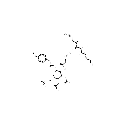 CC(=O)OC[C@@H]1O[C@@H](OC(=O)Oc2ccc([N+](=O)[O-])cc2)[C@@H](NC(=O)CN=[N+]=[N-])[C@H](CC(=O)O)[C@@H]1CC(=O)O.[N-]=[N+]=NCC(=O)C(=O)[C@@H](O)[C@@H](O)[C@H](O)[C@H](O)CO